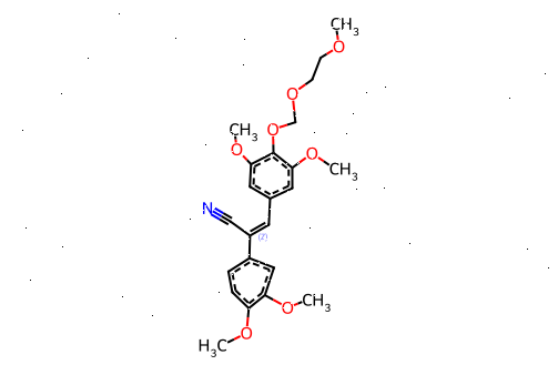 COCCOCOc1c(OC)cc(/C=C(\C#N)c2ccc(OC)c(OC)c2)cc1OC